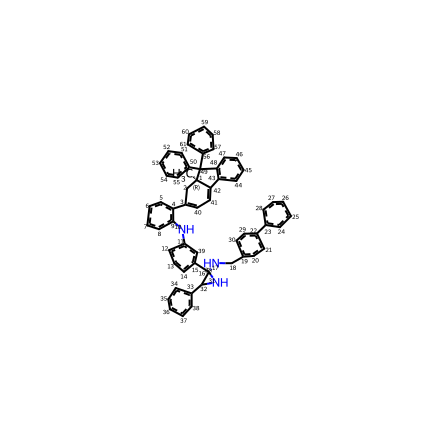 C[C@@]12CC(c3ccccc3Nc3cccc([C@@]4(NCc5ccc(-c6ccccc6)cc5)NC4c4ccccc4)c3)=CC=C1c1ccccc1C2(c1ccccc1)c1ccccc1